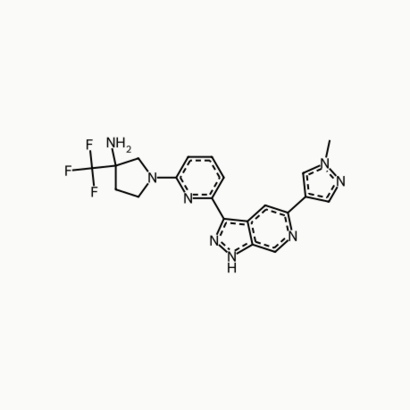 Cn1cc(-c2cc3c(-c4cccc(N5CCC(N)(C(F)(F)F)C5)n4)n[nH]c3cn2)cn1